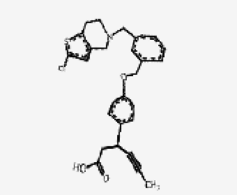 CC#CC(CC(=O)O)c1ccc(OCc2cccc(CN3CCc4sc(Cl)cc4C3)c2)cc1